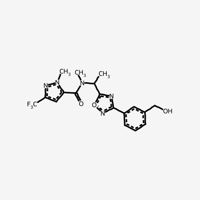 CC(c1nc(-c2cccc(CO)c2)no1)N(C)C(=O)c1cc(C(F)(F)F)nn1C